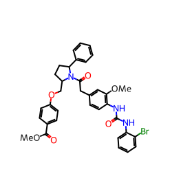 COC(=O)c1ccc(OCC2CCC(c3ccccc3)N2C(=O)Cc2ccc(NC(=O)Nc3ccccc3Br)c(OC)c2)cc1